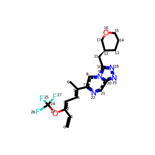 C=C/C(=C\C=C(/C)c1cn2c(C[C@@H]3CCCOC3)nnc2cn1)OC(F)(F)F